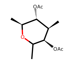 CC(=O)O[C@@H]1[C@@H](C)[C@@H](OC(C)=O)C(C)O[C@H]1C